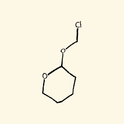 ClCOC1CCCCO1